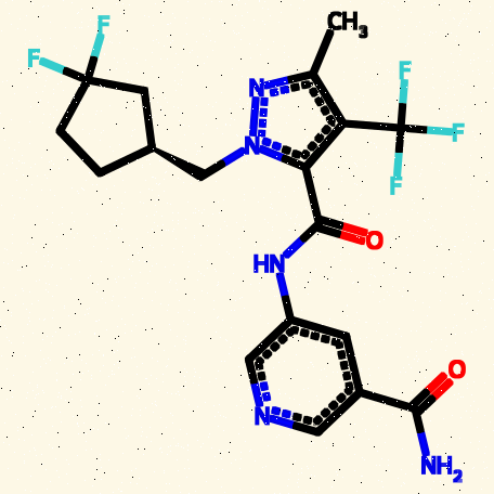 Cc1nn(C[C@H]2CCC(F)(F)C2)c(C(=O)Nc2cncc(C(N)=O)c2)c1C(F)(F)F